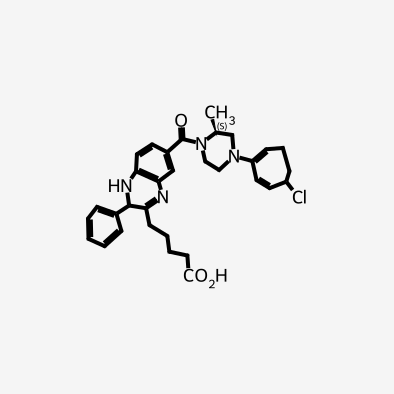 C[C@H]1CN(C2=CCCC(Cl)C=C2)CCN1C(=O)c1ccc2c(c1)N=C(CCCCC(=O)O)C(c1ccccc1)N2